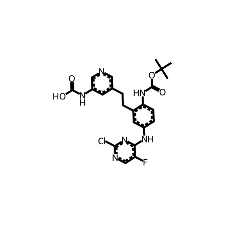 CC(C)(C)OC(=O)Nc1ccc(Nc2nc(Cl)ncc2F)cc1CCc1cncc(NC(=O)O)c1